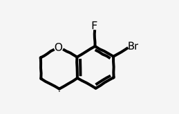 Fc1c(Br)ccc2c1OCC[CH]2